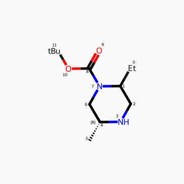 CCC1CN[C@H](C)CN1C(=O)OC(C)(C)C